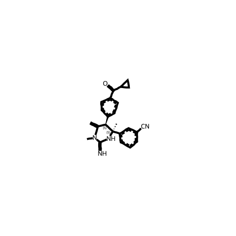 C=C1[C@@H](c2ccc(C(=O)C3CC3)cc2)[C@@](C)(c2cccc(C#N)c2)NC(=N)N1C